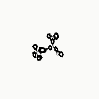 c1ccc([Si](c2ccccc2)(c2ccccc2)c2ccc(-c3ccc(N(c4ccc5c(c4)oc4ccccc45)c4cc5c6ccccc6n6c7ccccc7c(c4)c56)cc3)cc2)cc1